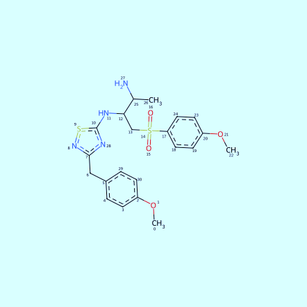 COc1ccc(Cc2nsc(NC(CS(=O)(=O)c3ccc(OC)cc3)C(C)N)n2)cc1